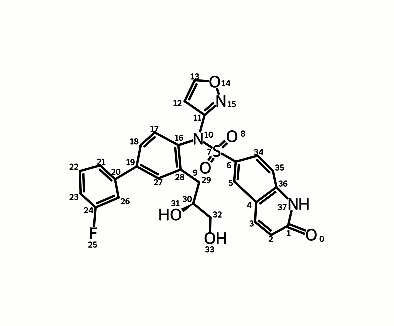 O=c1ccc2cc(S(=O)(=O)N(c3ccon3)c3ccc(-c4cccc(F)c4)cc3C[C@H](O)CO)ccc2[nH]1